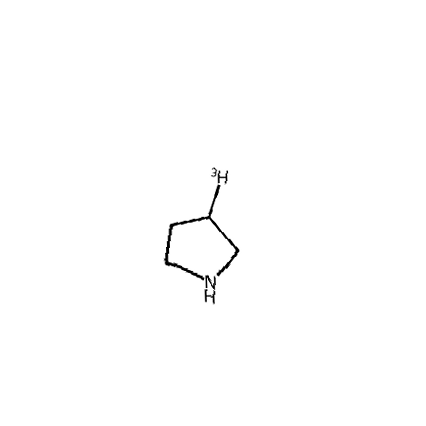 [3H]C1CCNC1